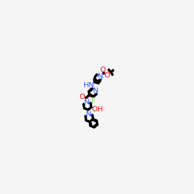 CC(C)(C)OC(=O)N1CC2CC1CC2Nc1cc(C(=O)N2CC[C@H](N3CCc4ccccc4C3)[C@@H](O)C2)c(F)cn1